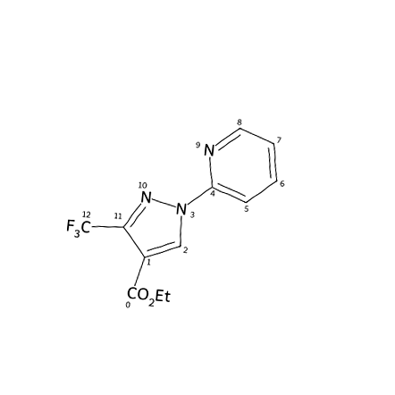 CCOC(=O)c1cn(-c2ccccn2)nc1C(F)(F)F